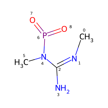 CN=C(N)N(C)P(=O)=O